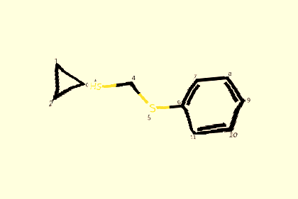 C1CC1.SCSc1ccccc1